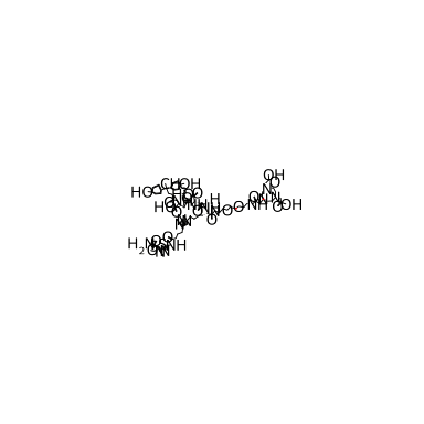 CC(CCC(=O)N[C@@H](CC(=O)N[C@@H](CC(=O)N[C@@H](CCCCn1cc(CCCC(=O)Nc2nnc(S(N)(=O)=O)s2)nn1)C(=O)NCCOCCOCCNC(=O)CN1CCN(CC(=O)O)CCN(CC(=O)O)CC1)C(=O)O)C(=O)O)(c1ccc(O)cc1)c1ccc(O)cc1